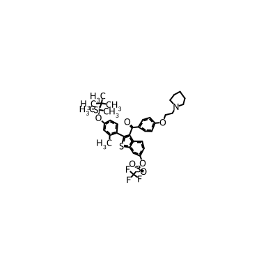 Cc1cc(O[Si](C)(C)C(C)(C)C)ccc1-c1sc2cc(OS(=O)(=O)C(F)(F)F)ccc2c1C(=O)c1ccc(OCCN2CCCCC2)cc1